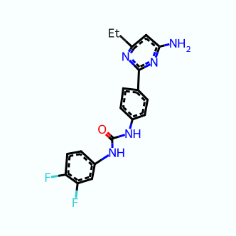 CCc1cc(N)nc(-c2ccc(NC(=O)Nc3ccc(F)c(F)c3)cc2)n1